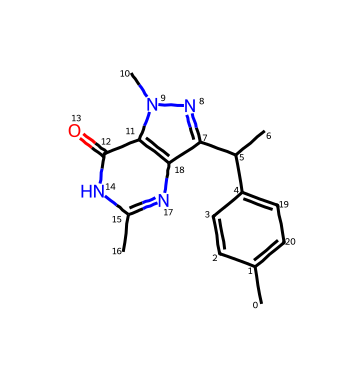 Cc1ccc(C(C)c2nn(C)c3c(=O)[nH]c(C)nc23)cc1